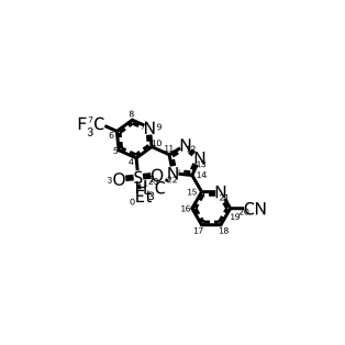 CCS(=O)(=O)c1cc(C(F)(F)F)cnc1-c1nnc(-c2cccc(C#N)n2)n1C